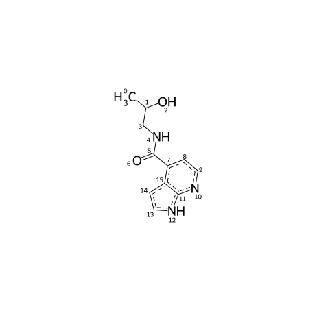 CC(O)CNC(=O)c1ccnc2[nH]ccc12